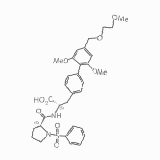 COCCOCc1cc(OC)c(-c2ccc(C[C@H](NC(=O)[C@@H]3CCCN3S(=O)(=O)c3ccccc3)C(=O)O)cc2)c(OC)c1